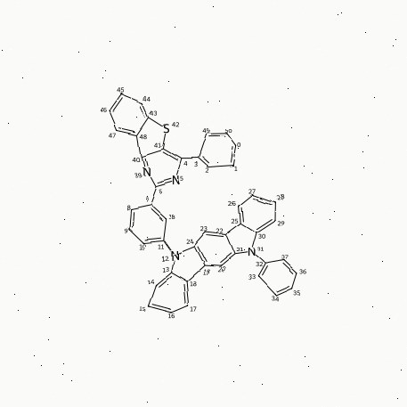 c1ccc(-c2nc(-c3cccc(-n4c5ccccc5c5cc6c(cc54)c4ccccc4n6-c4ccccc4)c3)nc3c2sc2ccccc23)cc1